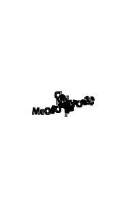 COCCOc1nc(Cl)nc2c1c(I)cn2COCC[Si](C)(C)C